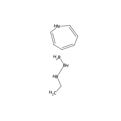 BBBCC.C1=CC=CNC=C1